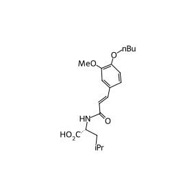 CCCCOc1ccc(C=CC(=O)N[C@H](CC(C)C)C(=O)O)cc1OC